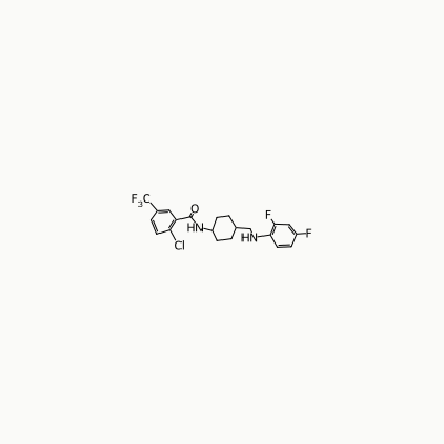 O=C(NC1CCC(CNc2ccc(F)cc2F)CC1)c1cc(C(F)(F)F)ccc1Cl